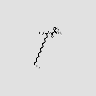 C=C(C)C(=O)OC(C)CCCCCCCCCCCCC